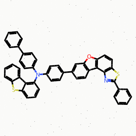 c1ccc(-c2ccc(N(c3ccc(-c4ccc5c(c4)oc4ccc6sc(-c7ccccc7)nc6c45)cc3)c3cccc4sc5ccccc5c34)cc2)cc1